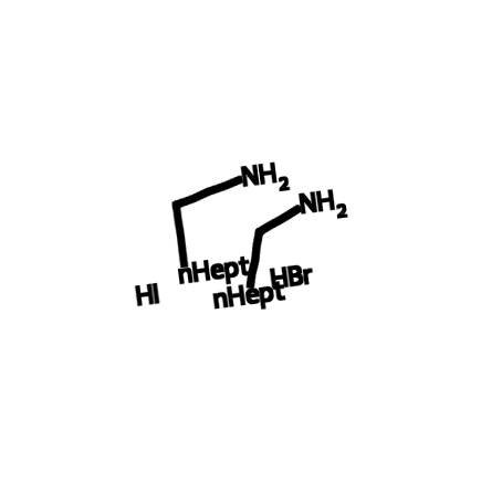 Br.CCCCCCCCN.CCCCCCCCN.I